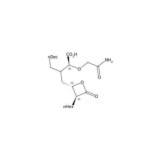 CCCCCCCCCCCC(C[C@@H]1OC(=O)[C@H]1CCCCCC)[C@H](OCC(N)=O)C(=O)O